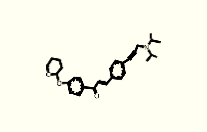 CC(C)N(CC#Cc1ccc(/C=C/C(=O)c2ccc(OC3CCCCO3)cc2)cc1)C(C)C